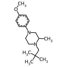 COc1ccc(N2CCN(CC(C)(C)C)C(C)C2)cc1